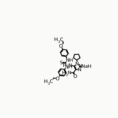 CCOc1ccc(NC(=S)Nc2ccc(OCC)cc2)cc1.NC(=O)c1nnn(C2CCCC2)c1N.[NaH]